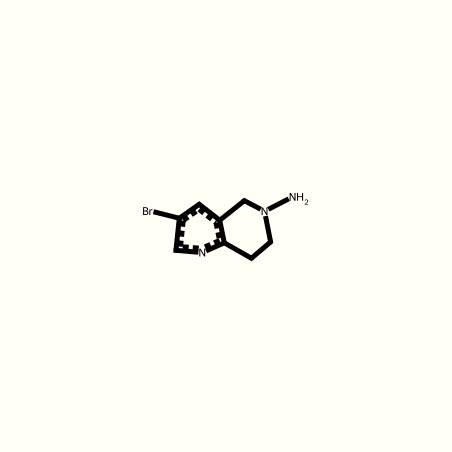 NN1CCc2ncc(Br)cc2C1